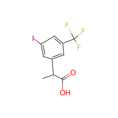 CC(C(=O)O)c1cc(I)cc(C(F)(F)F)c1